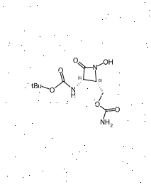 CC(C)(C)OC(=O)N[C@@H]1C(=O)N(O)[C@@H]1COC(N)=O